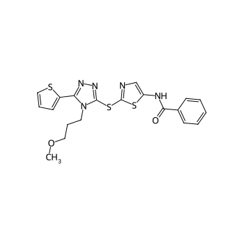 COCCCn1c(Sc2ncc(NC(=O)c3ccccc3)s2)nnc1-c1cccs1